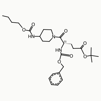 CCCCOC(=O)NC1CCN(C(=O)[C@H](CCC(=O)OC(C)(C)C)NC(=O)OCc2ccccc2)CC1